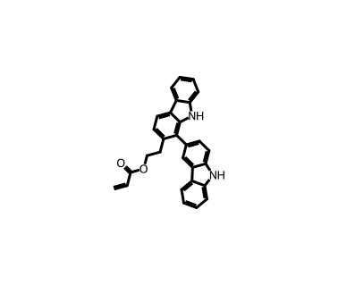 C=CC(=O)OCCc1ccc2c([nH]c3ccccc32)c1-c1ccc2[nH]c3ccccc3c2c1